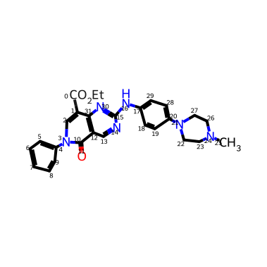 CCOC(=O)c1cn(-c2ccccc2)c(=O)c2cnc(Nc3ccc(N4CCN(C)CC4)cc3)nc12